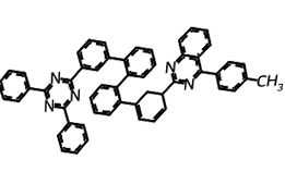 Cc1ccc(-c2nc(C3C=CC=C(c4ccccc4-c4ccccc4-c4cccc(-c5nc(-c6ccccc6)nc(-c6ccccc6)n5)c4)C3)nc3ccccc23)cc1